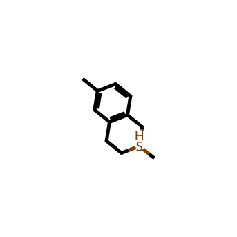 Cc1ccc2c(c1)CC[SH](C)C2